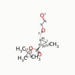 C[C@H]1[C@@H](COCC=O)[C@@H]1C(=O)OC(C)(C)C